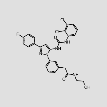 O=C(Cc1cccc(-n2nc(-c3ccc(F)cc3)cc2NC(=O)Nc2cccc(Cl)c2Cl)c1)NCCO